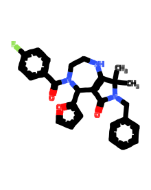 CC1(C)C2=C(C(=O)N1Cc1ccccc1)C(c1ccco1)N(C(=O)c1ccc(F)cc1)CCN2